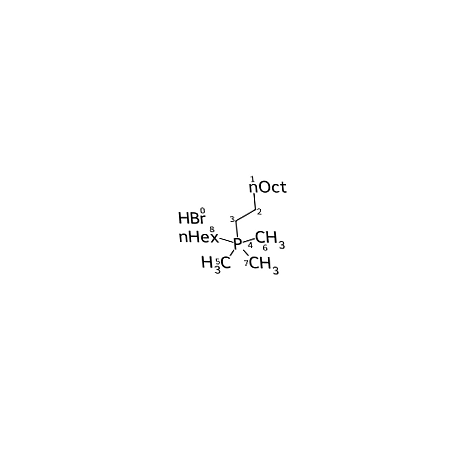 Br.CCCCCCCCCCP(C)(C)(C)CCCCCC